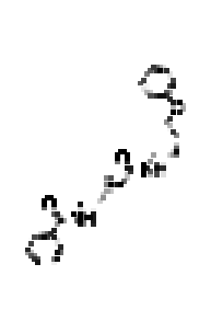 O=C(CSCCNC(=O)c1ccccc1)NC/C=C\COc1ccccc1